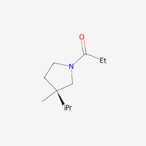 CCC(=O)N1CC[C@](C)(C(C)C)C1